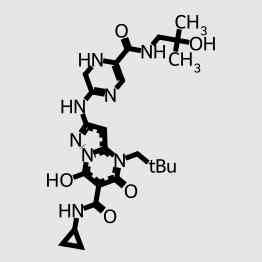 CC(C)(C)Cn1c(=O)c(C(=O)NC2CC2)c(O)n2nc(NC3=NC=C(C(=O)NCC(C)(C)O)NC3)cc12